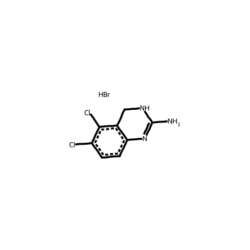 Br.NC1=Nc2ccc(Cl)c(Cl)c2CN1